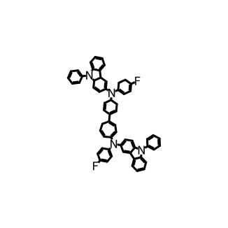 FC1=CC=C(N(C2=CC3c4ccccc4N(c4ccccc4)C3C=C2)C2C=CC(C3=CC=C(N(c4ccc(F)cc4)c4ccc5c(c4)c4ccccc4n5-c4ccccc4)C=CC3)=CC2)CC1